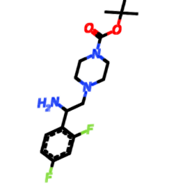 CC(C)(C)OC(=O)N1CCN(CC(N)c2ccc(F)cc2F)CC1